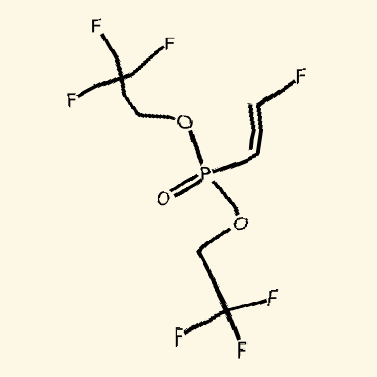 O=P(C=CF)(OCC(F)(F)F)OCC(F)(F)F